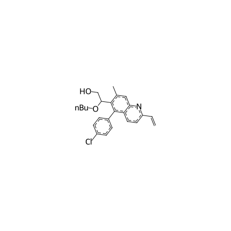 C=Cc1ccc2c(-c3ccc(Cl)cc3)c(C(CO)OCCCC)c(C)cc2n1